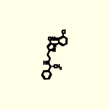 COc1cc(CCN[C@H](C)c2ccccc2)nn1-c1cccc(Cl)c1